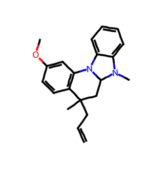 C=CCC1(C)CC2N(C)c3ccccc3N2c2cc(OC)ccc21